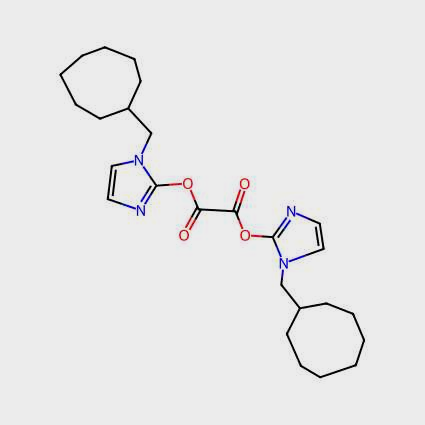 O=C(Oc1nccn1CC1CCCCCCC1)C(=O)Oc1nccn1CC1CCCCCCC1